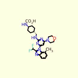 Cc1cccc2nc(C(F)F)n(-c3cc(N4CCOCC4)nc(NC[C@H]4CC[C@H](NC(=O)O)CC4)n3)c12